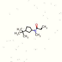 C=CC(=O)N(C)C1CCC(C(C)(C)C)C1